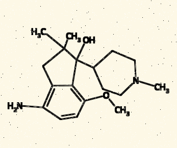 COc1ccc(N)c2c1C(O)(C1CCN(C)CC1)C(C)(C)C2